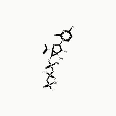 C=C(C)[C@]12O[C@@H](n3ccc(N)nc3=O)[C@H](F)[C@@]1(O)[C@@H]2OP(=O)(O)OP(=O)(O)OP(=O)(O)O